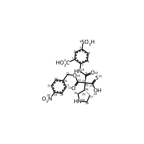 O=C(O)c1cc(S(=O)(=O)O)ccc1NC(=O)[C@@](C(=O)OCc1ccc([N+](=O)[O-])cc1)(C(O)=S)[C@@H]1CCNC1